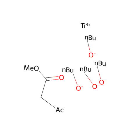 CCCC[O-].CCCC[O-].CCCC[O-].CCCC[O-].COC(=O)CC(C)=O.[Ti+4]